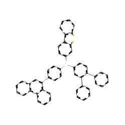 c1ccc(-c2ccc(N(c3ccc(-c4cc5ccccc5c5ccccc45)cc3)c3ccc4c(c3)sc3ccccc34)cc2-c2ccccc2)cc1